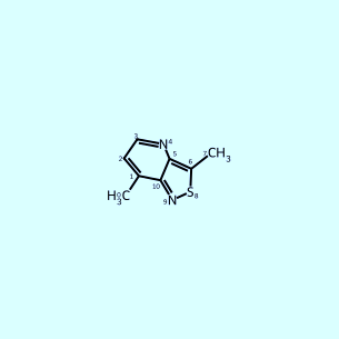 Cc1ccnc2c(C)snc12